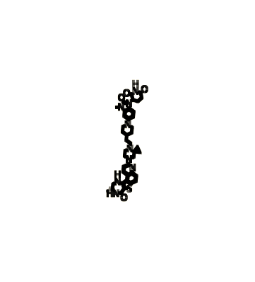 C[C@@H]1CNc2c(sc3ccc4nc(N5CCN(CCC6CCN(c7ccc8c(c7)n(C)c(=O)n8C7CCC(=O)NC7=O)CC6)C6(CC6)C5)ccc4c23)C(=O)N1